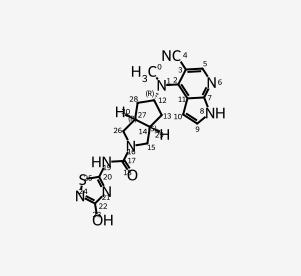 CN(c1c(C#N)cnc2[nH]ccc12)[C@@H]1C[C@@H]2CN(C(=O)Nc3nc(O)ns3)C[C@@H]2C1